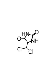 O=C1NC(=O)C(C(Cl)Cl)N1